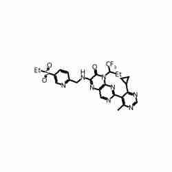 CCC(n1c(=O)c(NCc2ccc(S(=O)(=O)CC)cn2)nc2cnc(-c3c(C)ncnc3C3CC3)nc21)C(F)(F)F